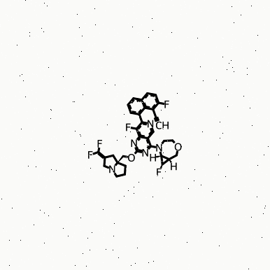 C#Cc1c(F)ccc2cccc(-c3ncc4c(N5CCOC[C@@H]6[C@@H](F)[C@@H]65)nc(OC[C@@]56CCCN5CC(=C(F)F)C6)nc4c3F)c12